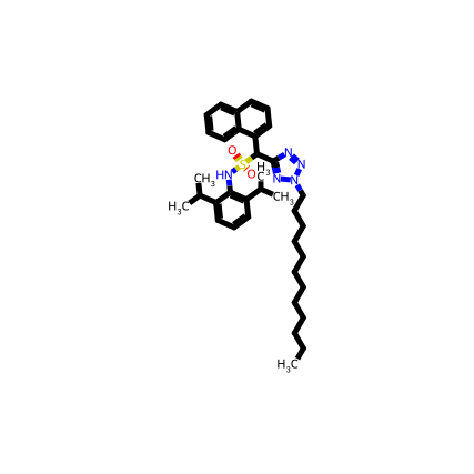 CCCCCCCCCCCCn1nnc(C(c2cccc3ccccc23)S(=O)(=O)Nc2c(C(C)C)cccc2C(C)C)n1